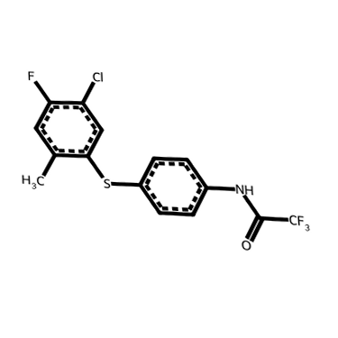 Cc1cc(F)c(Cl)cc1Sc1ccc(NC(=O)C(F)(F)F)cc1